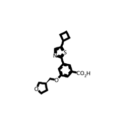 O=C(O)c1cc(OC[C@H]2CCOC2)cc(-c2ncc(C3CCC3)s2)c1